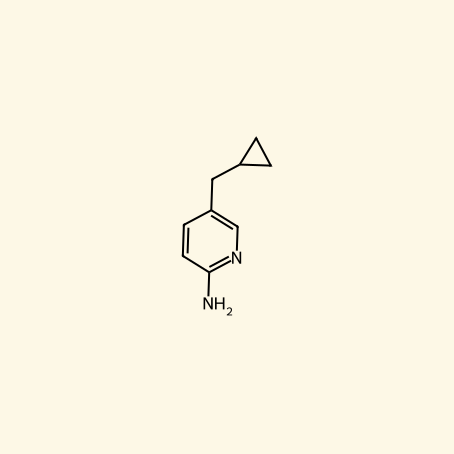 Nc1ccc(CC2CC2)cn1